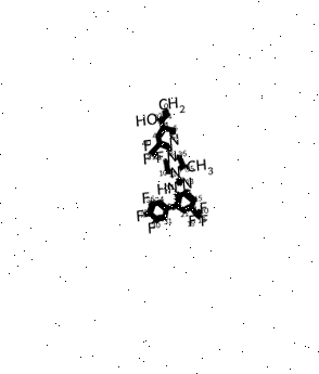 C=C[C@H](O)c1cnc(N2CCN(c3nc4cc(C(F)(F)F)cc(-c5cc(F)c(F)c(F)c5)c4[nH]3)[C@H](C)C2)c(C(F)(F)F)c1